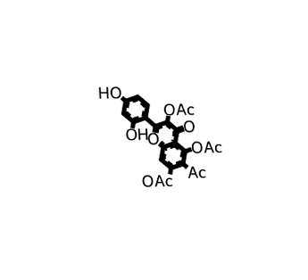 CC(=O)Oc1cc2oc(-c3ccc(O)cc3O)c(OC(C)=O)c(=O)c2c(OC(C)=O)c1C(C)=O